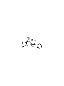 C#CCCN(CC(=N)N)OC(=O)c1ccccc1